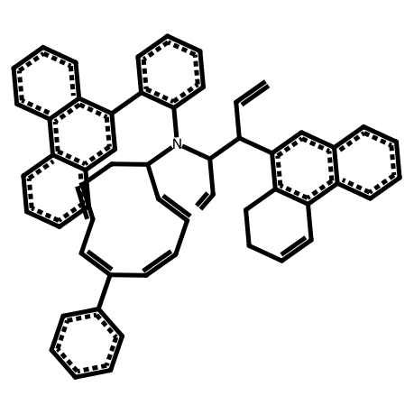 C=CC(c1cc2ccccc2c2c1CCC=C2)C(C=C)N(c1ccccc1-c1cc2ccccc2c2ccccc12)C1/C=C/C=C\C(c2ccccc2)=C/C=C/C1